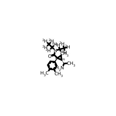 [2H]C([2H])([2H])C([2H])([2H])N(C(=O)[C@]1(c2ccc(C)c(C)c2)C[C@@H]1C(C)N)C([2H])(C)C([2H])([2H])[2H]